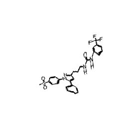 CS(=O)(=O)c1ccc(-n2nc(CCCNC(=O)Nc3cccc(C(F)(F)F)c3)cc2-c2ccccc2)cc1